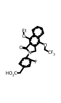 CCOc1c2c(c(OCC(F)(F)F)c3ccccc13)CN(c1ccc(CC(=O)O)cc1F)C2=O